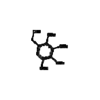 COc1cc(CC=O)c(OC)c(OC)c1OC